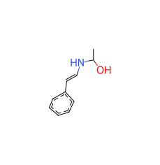 CC(O)N/C=C/c1ccccc1